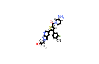 CC(C)(O)Cn1cc2cc(-c3sc(C(=O)N4CCC[C@@H](N)C4)cc3-c3ccc(C#N)c(F)c3)cnc2n1